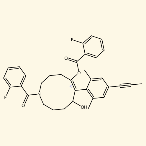 CC#Cc1cc(C)c(/C2=C(\OC(=O)c3ccccc3F)CCCN(C(=O)c3ccccc3F)CCCC2O)c(C)c1